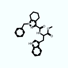 COC(=O)C(Cc1c[nH]c2ccccc12)NC(=O)c1nn(Cc2ccccc2)c2c1CCCC2